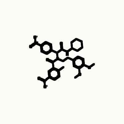 COc1ccc(CCN(C(=O)c2cc([N+](=O)[O-])ccc2C)C(C(=O)NC2CCCCC2)c2ccc([N+](=O)[O-])cc2)cc1OC